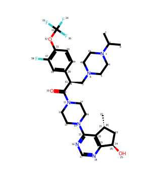 CC(C)N1CCN(C[C@@H](C(=O)N2CCN(c3ncnc4c3[C@H](C)C[C@H]4O)CC2)c2ccc(OC(F)(F)F)c(F)c2)CC1